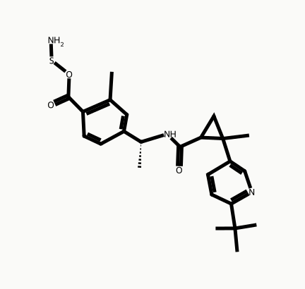 Cc1cc([C@@H](C)NC(=O)C2CC2(C)c2ccc(C(C)(C)C)nc2)ccc1C(=O)OSN